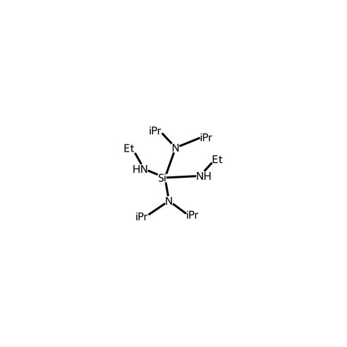 CCN[Si](NCC)(N(C(C)C)C(C)C)N(C(C)C)C(C)C